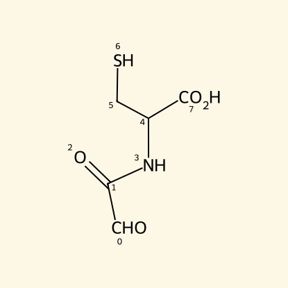 O=CC(=O)NC(CS)C(=O)O